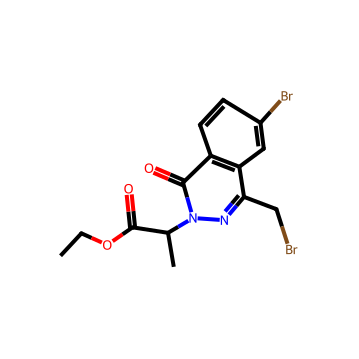 CCOC(=O)C(C)n1nc(CBr)c2cc(Br)ccc2c1=O